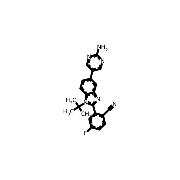 CC(C)(C)n1c(-c2cc(F)ccc2C#N)nc2cc(-c3cnc(N)nc3)ccc21